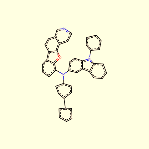 c1ccc(-c2ccc(N(c3ccc4c(c3)c3ccccc3n4-c3ccccc3)c3cccc4c3oc3c5ccncc5ccc43)cc2)cc1